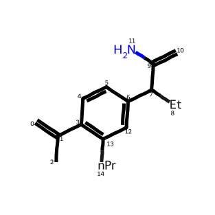 C=C(C)c1ccc(C(CC)C(=C)N)cc1CCC